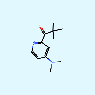 CN(C)c1ccnc(C(=O)C(C)(C)C)c1